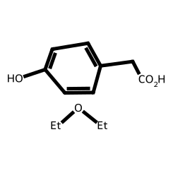 CCOCC.O=C(O)Cc1ccc(O)cc1